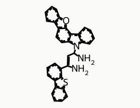 N/C(=C\C(N)n1c2ccccc2c2c3oc4ccccc4c3ccc21)c1cccc2c1sc1ccccc12